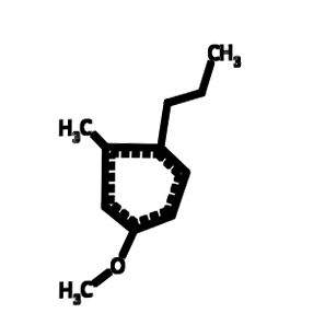 CCCc1ccc(OC)cc1C